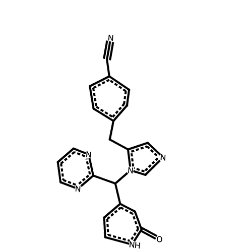 N#Cc1ccc(Cc2cncn2C(c2cc[nH]c(=O)c2)c2ncccn2)cc1